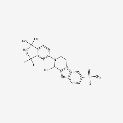 CC1c2nc3ccc(S(C)(=O)=O)cc3n2CCN1c1ncc(C(C)(C)O)c(C(F)(F)F)n1